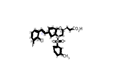 Cc1cccc(S(=O)(=O)N2C[C@H](CCC(=O)O)Oc3ccc(/C=C/c4cccc(F)c4Cl)cc32)c1